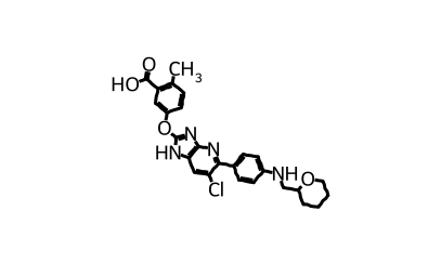 Cc1ccc(Oc2nc3nc(-c4ccc(NCC5CCCCO5)cc4)c(Cl)cc3[nH]2)cc1C(=O)O